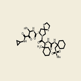 CCCC(NC(=O)[C@@H]1CC2(CN1C(=O)[C@@H](NC(=O)NC1(CS(=O)(=O)C(C)(C)C)CCCCC1)C1(C)CCCCC1)SCCS2)C(=O)C(=O)NC1CC1